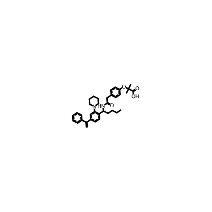 C=C(c1ccccc1)c1ccc(C(CCCC)NC(=O)Cc2ccc(OC(C)(C)C(=O)O)cc2)c(N2CCCCC2)c1